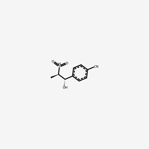 C[C@H]([C@@H](O)c1ccc(C#N)cc1)[SH](=O)=O